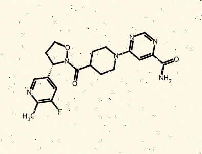 Cc1ncc([C@@H]2CCON2C(=O)C2CCN(c3cc(C(N)=O)ncn3)CC2)cc1F